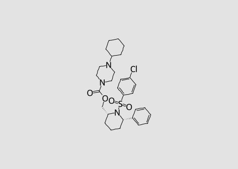 O=C(OC[C@H]1CCC[C@@H](c2ccccc2)N1S(=O)(=O)c1ccc(Cl)cc1)N1CCN(C2CCCCC2)CC1